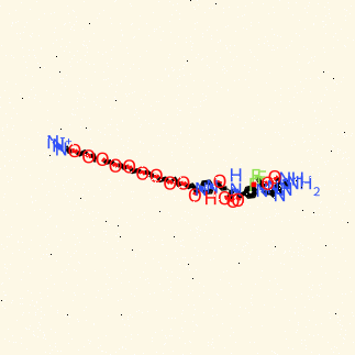 [N-]=[N+]=NCCOCCOCCOCCOCCOCCOCCOCCOCCOCCC(=O)N1CCN(C(=O)CC[C@H](NC(=O)c2ccc(N(Cc3cnc4nc(N)[nH]c(=O)c4n3)C(=O)C(F)(F)F)cc2)C(=O)O)CC1